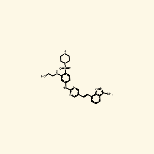 Nc1noc2c(/C=C/c3cnc(Nc4ccc(S(=O)(=O)N5CCNCC5)c(NCCO)c4)nc3)cccc12